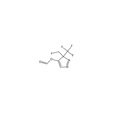 O=COC1=CN=NC1(CF)C(F)(F)F